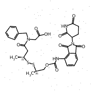 C[C@H](COC(=O)Nc1cccc2c1C(=O)N(C1CCC(=O)NC1=O)C2=O)SS[C@@H](C)CC(=O)N(CC(=O)O)Cc1ccccc1